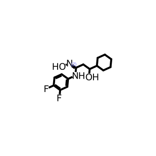 O/N=C(/CC(O)C1CCCCC1)Nc1ccc(F)c(F)c1